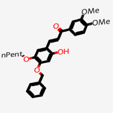 CCCCCOc1cc(C=CC(=O)c2ccc(OC)c(OC)c2)c(O)cc1OCc1ccccc1